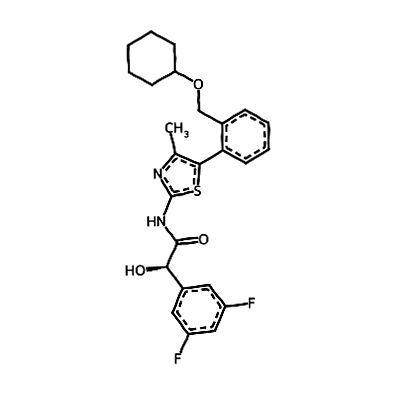 Cc1nc(NC(=O)[C@H](O)c2cc(F)cc(F)c2)sc1-c1ccccc1COC1CCCCC1